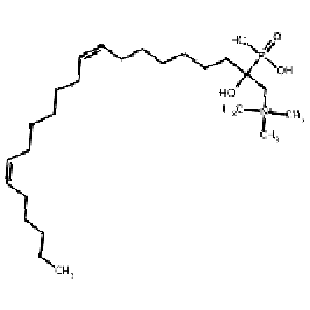 CCCCC/C=C\CCCCC/C=C\CCCCCCC(O)(C[N+](C)(C)C)P(=O)(O)O